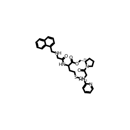 CSCCC(NC(=O)CNCc1cccc2ccccc12)C(=O)OC[C@@H]1CCCN1C(=O)CNc1ccccn1